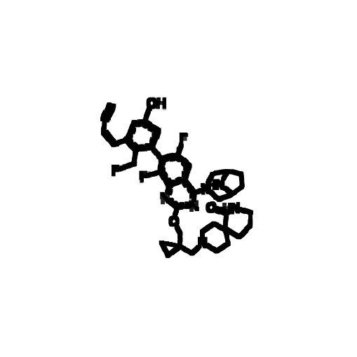 C#C/C=C\c1cc(O)cc(-c2c(F)cc3c(N4CC5CCC(C4)N5)nc(OCC4(CN5CCC6(CCCNC6=O)CC5)CC4)nc3c2F)c1CF